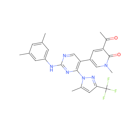 CC(=O)c1cc(-c2cnc(Nc3cc(C)cc(C)c3)nc2-n2nc(C(F)(F)F)cc2C)cn(C)c1=O